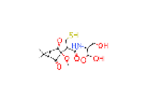 COC1(C(CS)C(=O)N[C@@H](CO)C(=O)O)C(=O)C2C(C1=O)C2(C)C